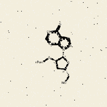 CCCCCO[C@@H]1C[C@@H](CO)O[C@H]1n1ncc2c(=O)[nH]cnc21